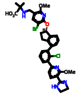 COc1nc(O[C@H]2CCc3c(-c4cccc(-c5ccc(C6=NCCN6)c(OC)n5)c4Cl)cccc32)c(Br)cc1CNC(C)(C)C(=O)O